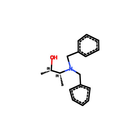 C[C@H](O)[C@@H](C)N(Cc1ccccc1)Cc1ccccc1